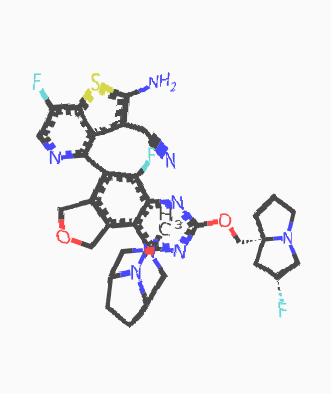 CN1CC2CCC(C1)N2c1nc(OC[C@]23CCCN2C[C@H](F)C3)nc2c(F)c(-c3ncc(F)c4sc(N)c(C#N)c34)c3c(c12)COC3